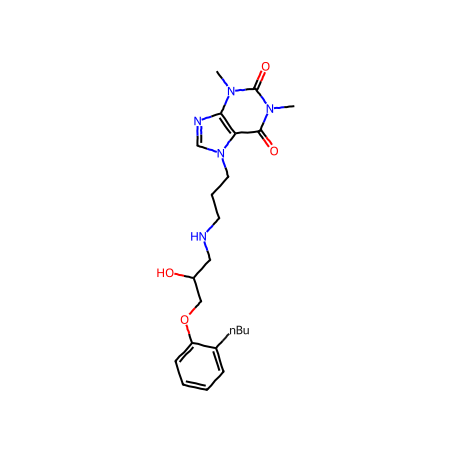 CCCCc1ccccc1OCC(O)CNCCCn1cnc2c1c(=O)n(C)c(=O)n2C